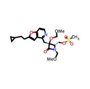 COCO[C@@]1(Cc2nccc3oc(CCC4CC4)cc23)C(=O)N(COC)[C@H]1COS(C)(=O)=O